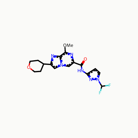 COc1nc(C(=O)Nc2ccn(C(F)F)n2)cn2cc(C3CCOCC3)nc12